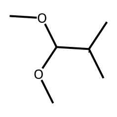 COC(OC)[C](C)C